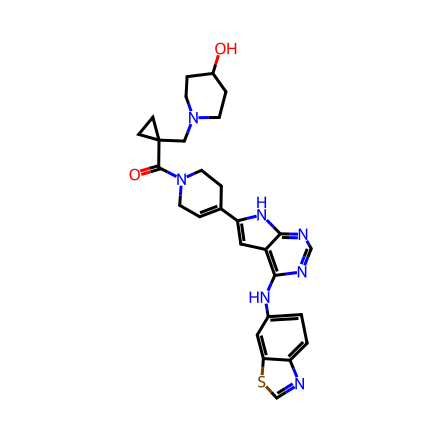 O=C(N1CC=C(c2cc3c(Nc4ccc5ncsc5c4)ncnc3[nH]2)CC1)C1(CN2CCC(O)CC2)CC1